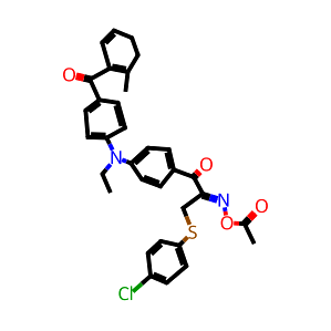 CCN(c1ccc(C(=O)C2=C(C)CCC=C2)cc1)c1ccc(C(=O)/C(CSc2ccc(Cl)cc2)=N/OC(C)=O)cc1